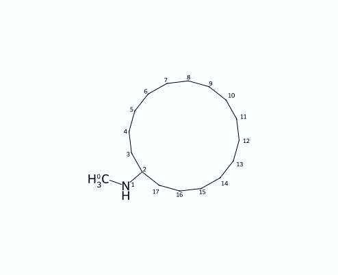 CNC1CCCCCCCCCCCCCCC1